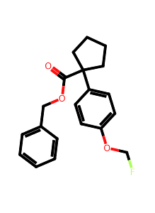 O=C(OCc1ccccc1)C1(c2ccc(OCF)cc2)CCCC1